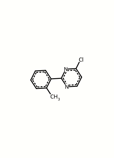 Cc1ccccc1-c1nccc(Cl)n1